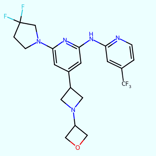 FC1(F)CCN(c2cc(C3CN(C4COC4)C3)cc(Nc3cc(C(F)(F)F)ccn3)n2)C1